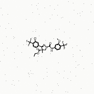 CCOC(=O)C1(C)CN(C(=O)Nc2ccc(C(F)(F)F)c(OC)c2)N=C1c1ccc(C(F)(F)F)c(Cl)c1